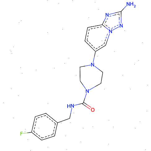 Nc1nc2ccc(N3CCN(C(=O)NCc4ccc(F)cc4)CC3)cn2n1